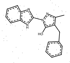 Cc1nn(-c2nc3ccccc3[nH]2)c(O)c1Cc1ccccc1